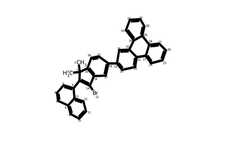 CC1(C)C(c2cccc3ccccc23)=C(Br)c2cc(-c3ccc4c5ccccc5c5ccccc5c4c3)ccc21